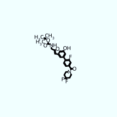 CC(C)(C)OC(=O)NCc1cc2cc(-c3ccc(C(=O)N4CCC(F)(F)CC4)cc3F)cc(O)c2o1